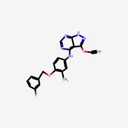 C#COc1n[nH]c2ncnc(Nc3ccc(OCc4cccc(F)c4)c(C)c3)c12